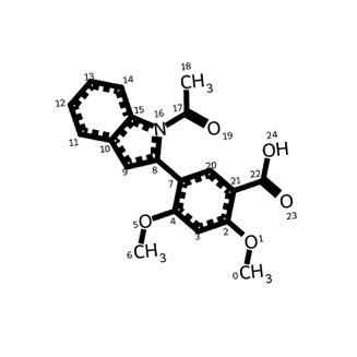 COc1cc(OC)c(-c2cc3ccccc3n2C(C)=O)cc1C(=O)O